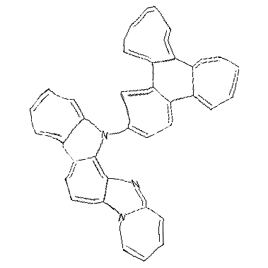 c1ccc2c(c1)c1ccccc1c1cc(-n3c4ccccc4c4ccc5c(nc6ccccn65)c43)ccc21